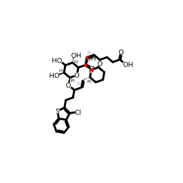 O=C(O)CCC/C=C\CN1C(=O)CCC[C@@H]1/C=C/C(CCc1sc2ccccc2c1Cl)O[C@@H]1OC(C(=O)O)[C@@H](O)C(O)[C@@H]1O